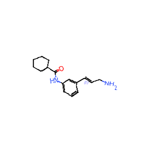 NC/C=C/c1cccc(NC(=O)C2CCCCC2)c1